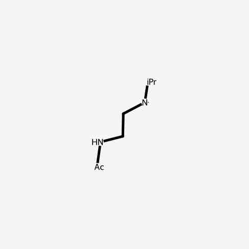 CC(=O)NCC[N]C(C)C